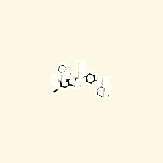 C#Cc1cc2cnc(Nc3ccc(NC4CCCN(C)C4)cc3)nc2n(C2CCCC2)c1=O